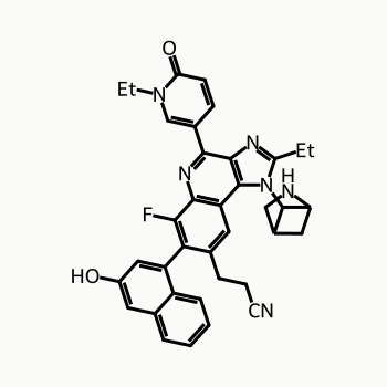 CCc1nc2c(-c3ccc(=O)n(CC)c3)nc3c(F)c(-c4cc(O)cc5ccccc45)c(CCC#N)cc3c2n1C1C2CNC1C2